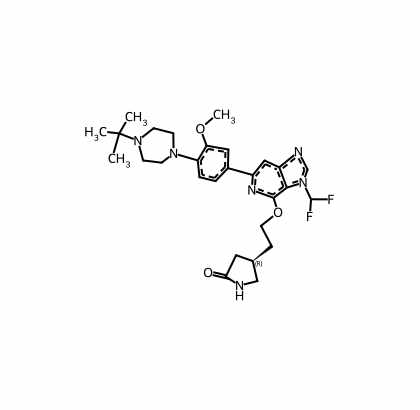 COc1cc(-c2cc3ncn(C(F)F)c3c(OCC[C@H]3CNC(=O)C3)n2)ccc1N1CCN(C(C)(C)C)CC1